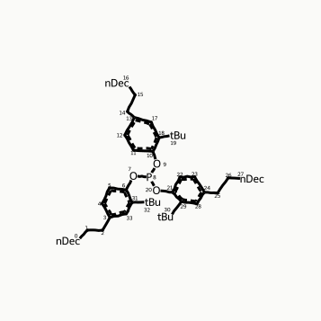 CCCCCCCCCCCCc1ccc(OP(Oc2ccc(CCCCCCCCCCCC)cc2C(C)(C)C)Oc2ccc(CCCCCCCCCCCC)cc2C(C)(C)C)c(C(C)(C)C)c1